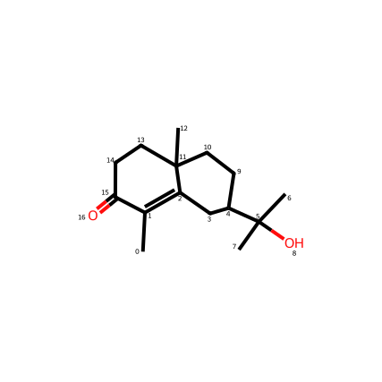 CC1=C2CC(C(C)(C)O)CCC2(C)CCC1=O